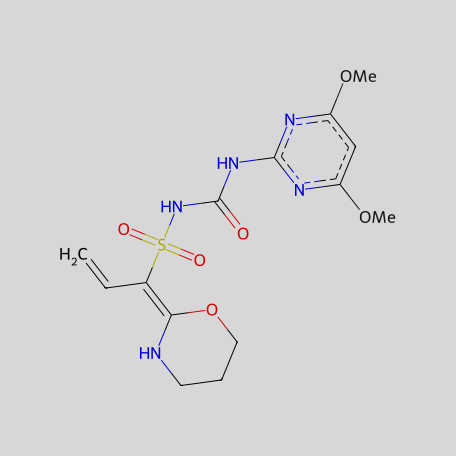 C=C/C(=C1\NCCCO1)S(=O)(=O)NC(=O)Nc1nc(OC)cc(OC)n1